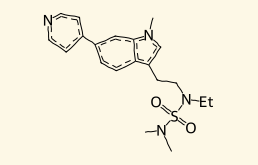 CCN(CCc1cn(C)c2cc(-c3ccncc3)ccc12)S(=O)(=O)N(C)C